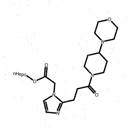 CCCCCCCOC(=O)Cn1ccnc1CCC(=O)N1CCC(N2CCOCC2)CC1